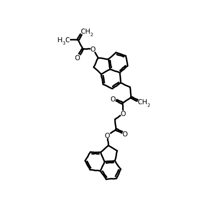 C=C(C)C(=O)OC1Cc2ccc(CC(=C)C(=O)OCC(=O)OC3Cc4cccc5cccc3c45)c3cccc1c23